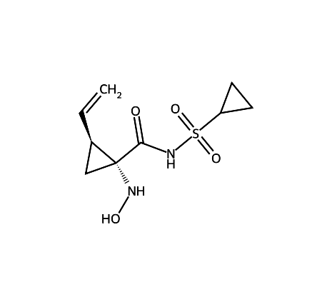 C=C[C@@H]1C[C@]1(NO)C(=O)NS(=O)(=O)C1CC1